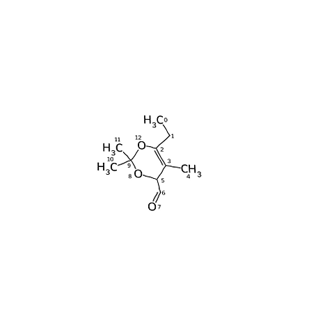 CCC1=C(C)C(C=O)OC(C)(C)O1